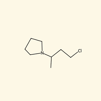 CC(CCCl)N1CCCC1